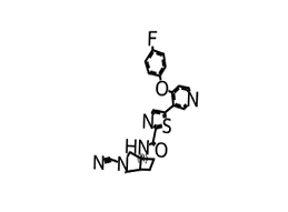 N#CN1CC2CC[C@]2(NC(=O)c2ncc(-c3cnccc3Oc3ccc(F)cc3)s2)C1